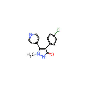 CN1[N]C(=O)C(c2ccc(Cl)cc2)=C1c1ccncc1